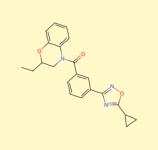 CCC1CN(C(=O)c2cccc(-c3noc(C4CC4)n3)c2)c2ccccc2O1